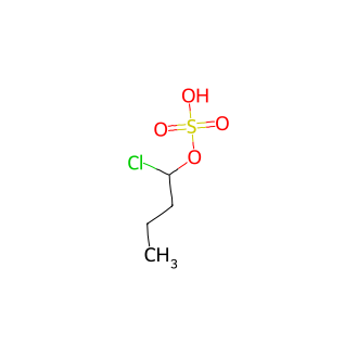 CCCC(Cl)OS(=O)(=O)O